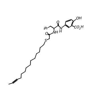 CC#CCCCCCCCCCCCSCC(=O)NC(CC(C)C)C(=O)Nc1ccc(O)c(C(=O)O)c1